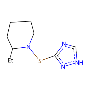 CCC1CCCCN1Sc1nc[nH]n1